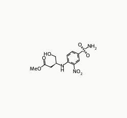 COC(=O)C[C@@H](CO)Nc1ccc(S(N)(=O)=O)cc1[N+](=O)[O-]